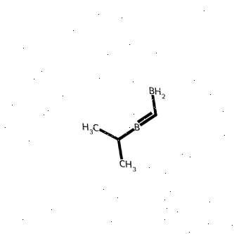 BC=BC(C)C